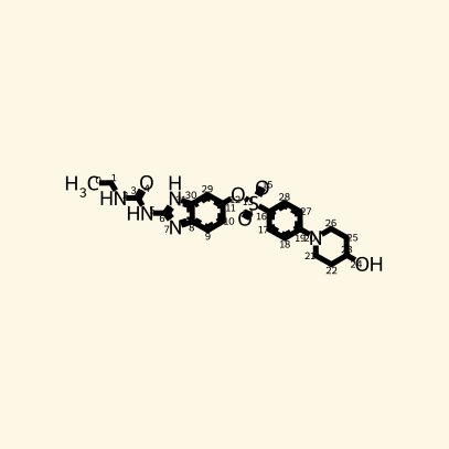 CCNC(=O)Nc1nc2ccc(OS(=O)(=O)c3ccc(N4CCC(O)CC4)cc3)cc2[nH]1